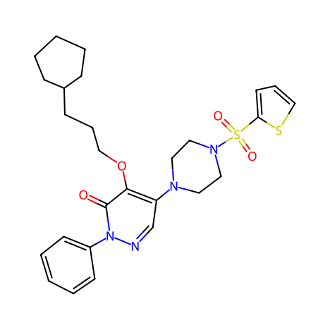 O=c1c(OCCCC2CCCCC2)c(N2CCN(S(=O)(=O)c3cccs3)CC2)cnn1-c1ccccc1